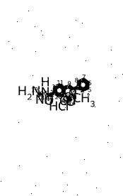 CN1C(c2ccccc2)=Cc2ccc(C(=O)NC(=N)N)cc2S1(=O)=O.Cl